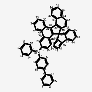 c1ccc(-c2ccc(N(c3ccccc3)c3ccc4c5c(c6ccccc6c4c3)-c3c(ccc4ccccc34)C53c4ccccc4-c4ccccc43)cc2)cc1